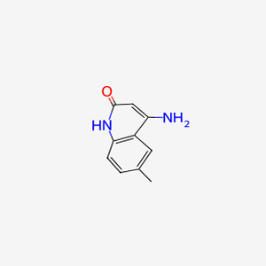 Cc1ccc2[nH]c(=O)cc(N)c2c1